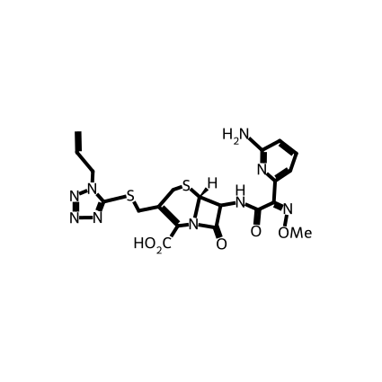 C=CCn1nnnc1SCC1=C(C(=O)O)N2C(=O)C(NC(=O)/C(=N\OC)c3cccc(N)n3)[C@H]2SC1